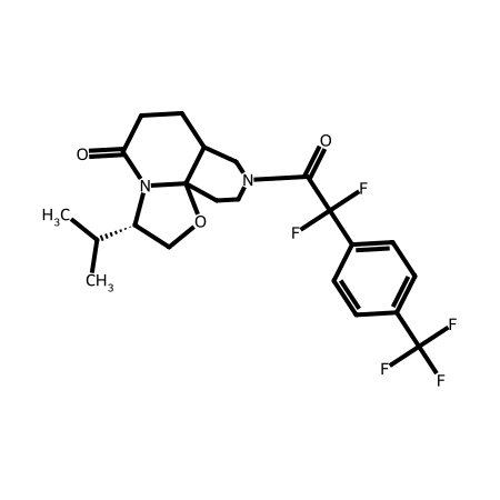 CC(C)[C@H]1COC23CCN(C(=O)C(F)(F)c4ccc(C(F)(F)F)cc4)CC2CCC(=O)N13